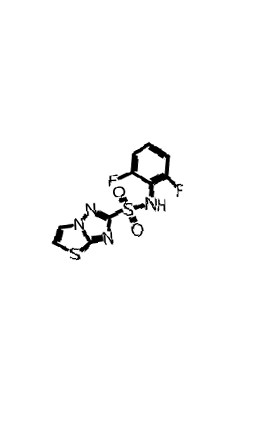 O=S(=O)(Nc1c(F)cccc1F)c1nc2sccn2n1